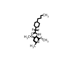 CCCCC1CCC(C(F)(F)C(=O)Nc2c(SC)cc(C)nc2SC)CC1